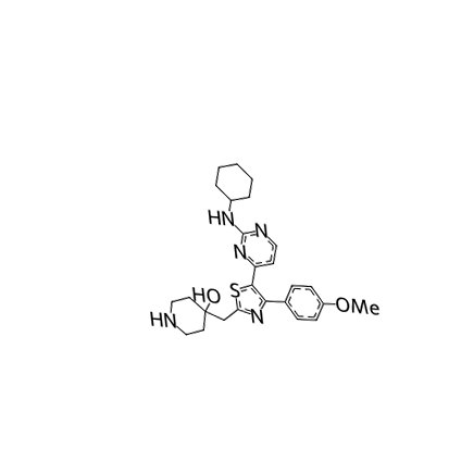 COc1ccc(-c2nc(CC3(O)CCNCC3)sc2-c2ccnc(NC3CCCCC3)n2)cc1